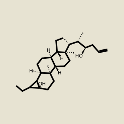 C=CC[C@@H](O)[C@@H](C)[C@H]1CC[C@H]2[C@@H]3CC[C@@H]4C5C(CC)[C@@]5(O)CC[C@]4(C)[C@H]3CC[C@]12C